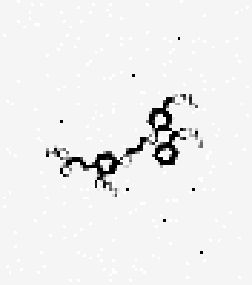 C=C(c1ccccc1)c1cc(CC)ccc1OCCCOc1ccc(CCC(=O)O)c(C)c1